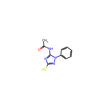 CC(=O)Nc1nc(S)nn1-c1ccccc1